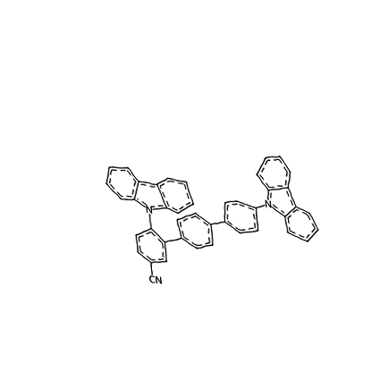 N#Cc1ccc(-n2c3ccccc3c3ccccc32)c(-c2ccc(-c3ccc(-n4c5ccccc5c5ccccc54)cc3)cc2)c1